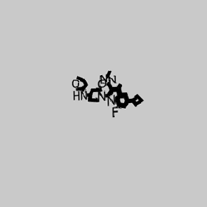 Cc1noc(-c2c(N3CCC(N[C@@H]4CCCOC4)CC3)nc3c(F)cc(C4CCC4)cc3c2C)n1